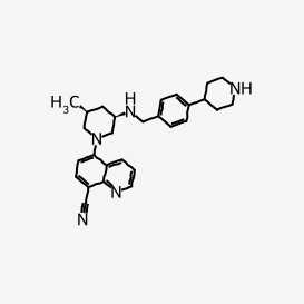 C[C@H]1C[C@@H](NCc2ccc(C3CCNCC3)cc2)CN(c2ccc(C#N)c3ncccc23)C1